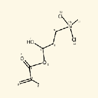 C=C(C)C(=O)OC(O)CC[Si](C)(Cl)Cl